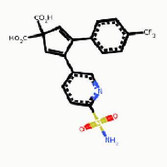 NS(=O)(=O)c1ccc(C2=CC(C(=O)O)(C(=O)O)C=C2c2ccc(C(F)(F)F)cc2)cn1